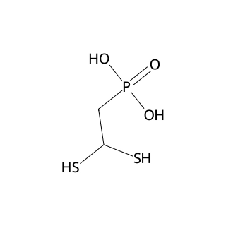 O=P(O)(O)CC(S)S